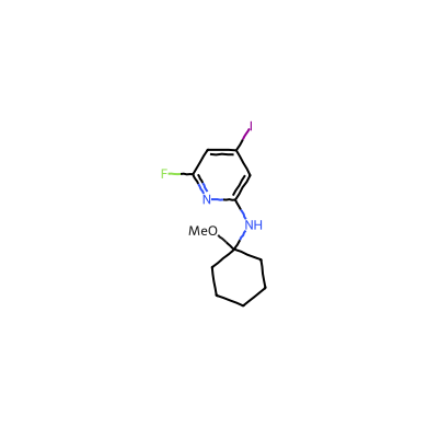 COC1(Nc2cc(I)cc(F)n2)CCCCC1